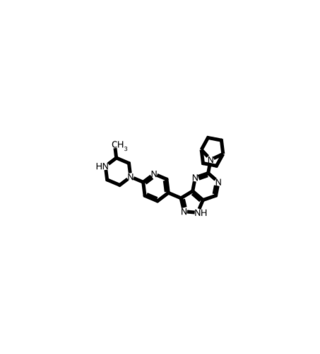 CC1CN(c2ccc(-c3n[nH]c4cnc(N5C6CCC5CC6)nc34)cn2)CCN1